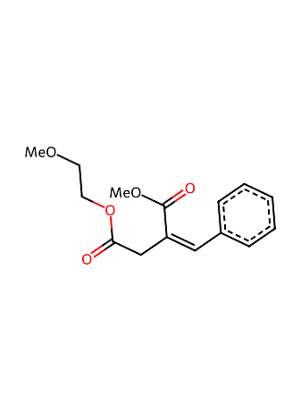 COCCOC(=O)CC(=Cc1ccccc1)C(=O)OC